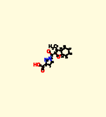 Cc1c(C(=O)n2ccc(C(=O)O)n2)oc2ccccc12